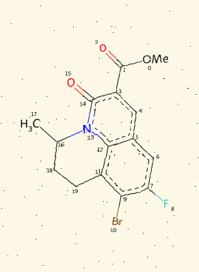 COC(=O)c1cc2cc(F)c(Br)c3c2n(c1=O)C(C)CC3